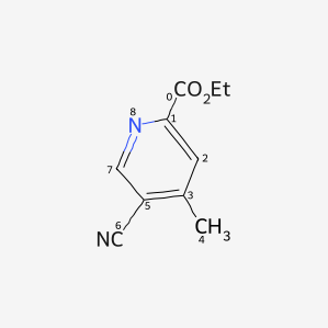 CCOC(=O)c1cc(C)c(C#N)cn1